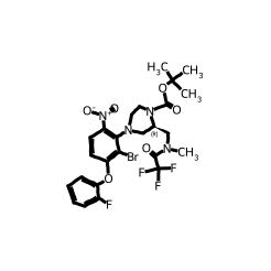 CN(C[C@H]1CN(c2c([N+](=O)[O-])ccc(Oc3ccccc3F)c2Br)CCN1C(=O)OC(C)(C)C)C(=O)C(F)(F)F